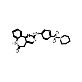 O=C1Cc2cnc(Nc3ccc(S(=O)(=O)N4CCCCC4)cc3)nc2-c2ccccc2N1